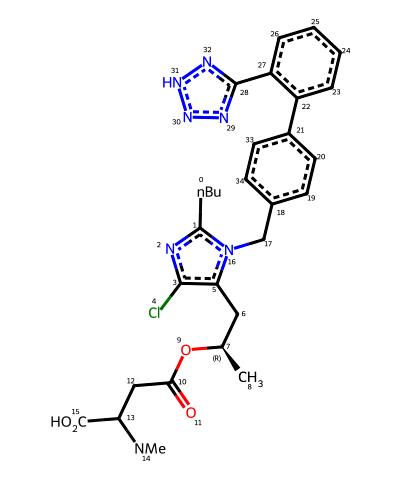 CCCCc1nc(Cl)c(C[C@@H](C)OC(=O)CC(NC)C(=O)O)n1Cc1ccc(-c2ccccc2-c2nn[nH]n2)cc1